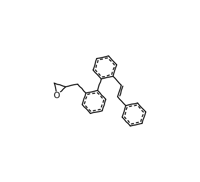 C(=Cc1ccccc1-c1ccccc1CC1CO1)c1ccccc1